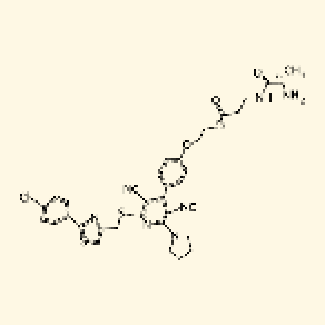 [C-]#[N+]c1c(N2CCCC2)nc(SCc2csc(-c3ccc(Cl)cc3)n2)c(C#N)c1-c1ccc(OCCOC(=O)CCNC(=O)[C@H](C)N)cc1